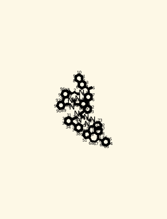 C=CC/C(=N\c1cc2ccccc2cc1C(=C)c1ccc(-c2ccc3c(c2)c2nc4c5ccccc5c5ccccc5n4c2n3-c2nc(-c3cccc4c3-c3ccccc3C(c3ccccc3)CC4)c3ccccc3n2)cc1)n1c2ccccc2c2nc3c4ccccc4c4ccccc4n3c21